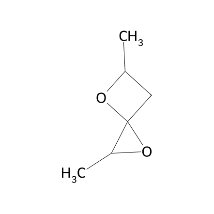 CC1CC2(O1)OC2C